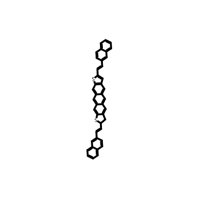 C(=C\c1cc2cc3cc4cc5c(cc4cc3cc2s1)SC(/C=C/c1ccc2ccccc2c1)C5)/c1ccc2ccccc2c1